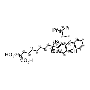 CC(C)N(CC[C@H](c1ccccc1)c1cc(C(CCCCCCCN(C(=O)O)C(=O)O)(C(C)(C)C)C(C)(C)C)ccc1O)C(C)C